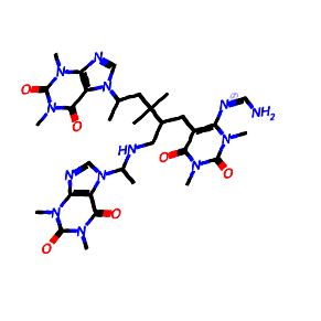 CC(CC(C)(C)C(CNC(C)n1cnc2c1c(=O)n(C)c(=O)n2C)Cc1c(/N=C\N)n(C)c(=O)n(C)c1=O)n1cnc2c1c(=O)n(C)c(=O)n2C